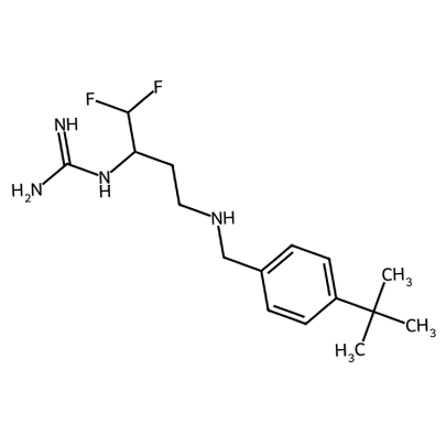 CC(C)(C)c1ccc(CNCCC(NC(=N)N)C(F)F)cc1